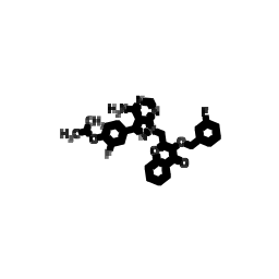 CC(C)Oc1ccc(-c2nn(Cc3oc4ccccc4c(=O)c3OCc3cccc(F)c3)c3ncnc(N)c23)cc1F